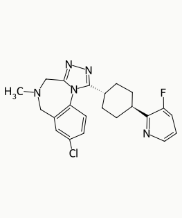 CN1Cc2cc(Cl)ccc2-n2c(nnc2[C@H]2CC[C@H](c3ncccc3F)CC2)C1